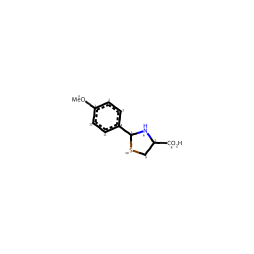 COc1ccc(C2NC(C(=O)O)CS2)cc1